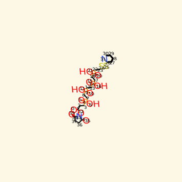 O=C(CCP(=O)(O)CCP(=O)(O)CCP(=O)(O)CCP(=O)(O)CCSSc1ccccn1)ON1C(=O)CCC1=O